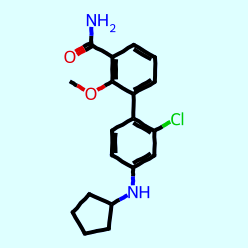 COc1c(C(N)=O)cccc1-c1ccc(NC2CCCC2)cc1Cl